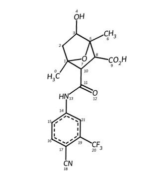 CC12CC(O)C(C)(O1)C(C(=O)O)C2C(=O)Nc1ccc(C#N)c(C(F)(F)F)c1